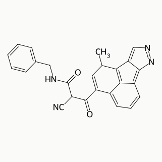 CC1C=C(C(=O)C(C#N)C(=O)NCc2ccccc2)c2cccc3c2=C1C1=CN=NC=31